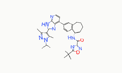 Cc1nn(C(C)C)c(C)c1-c1nc2c(-c3ccc4c(c3)CCCC[C@@H]4NC(=O)c3noc(C(C)(C)C)n3)ccnc2[nH]1